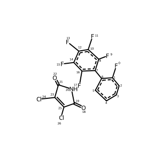 Fc1ccccc1-c1c(F)c(F)c(F)c(F)c1F.O=C1NC(=O)C(Cl)=C1Cl